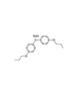 CCCOc1ccc(Sc2ccc(OCCC)cc2)cc1.[NaH]